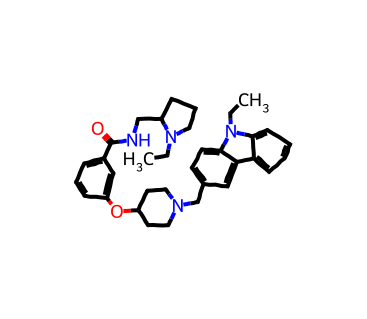 CCN1CCCC1CNC(=O)c1cccc(OC2CCN(Cc3ccc4c(c3)c3ccccc3n4CC)CC2)c1